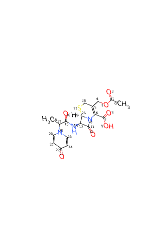 CC(=O)OCC1=C(C(=O)O)N2C(=O)[C@@H](NC(=O)C(C)n3ccc(=O)cc3)[C@H]2SC1